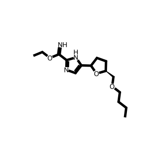 CCCCOC[C@@H]1CCC(c2cnc(C(=N)OCC)[nH]2)O1